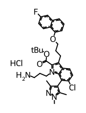 Cc1nn(C)c(C)c1-c1c(Cl)ccc2c(CCCOc3cccc4cc(F)ccc34)c(C(=O)OC(C)(C)C)n(CCCN)c12.Cl